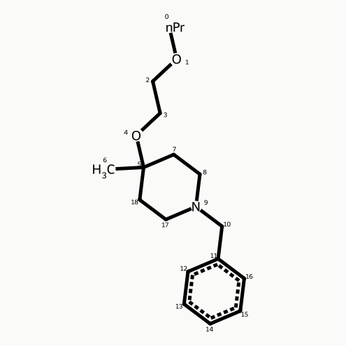 CCCOCCOC1(C)CCN(Cc2ccccc2)CC1